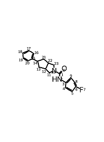 O=C(Nc1ccc(F)cc1)N1CC2CC(c3ccccc3)CC2C1